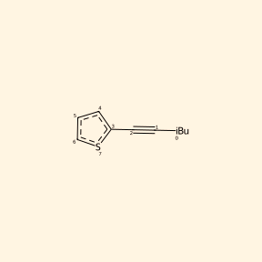 [CH2]CC(C)C#Cc1cccs1